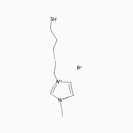 Cn1cc[n+](CCCCCS)c1.[Br-]